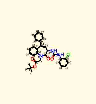 CC(C)(C)OC(=O)CN1C(=O)C(NC(=O)Nc2ccccc2Cl)C=C(c2ccccc2)c2ccccc21